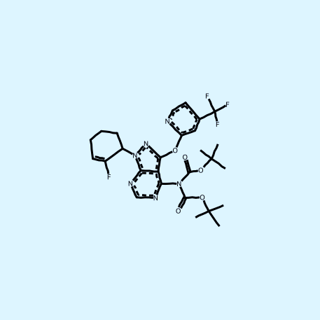 CC(C)(C)OC(=O)N(C(=O)OC(C)(C)C)c1ncnc2c1c(Oc1cc(C(F)(F)F)ccn1)nn2C1CCCC=C1F